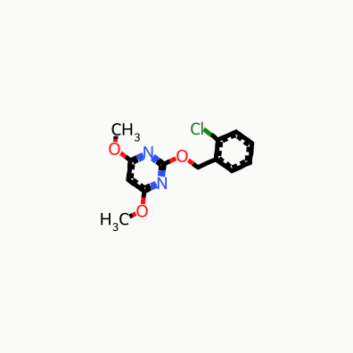 COc1cc(OC)nc(OCc2ccccc2Cl)n1